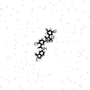 C=C(Nc1ccc2c(c1)C(=C)N(C)C2)c1cc(NC(=C)C(c2cc(C)cc(Cl)c2)C(C)(Cl)Cl)ccc1Cl